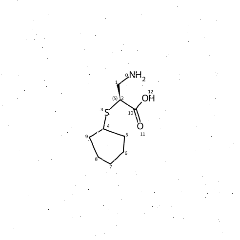 NC[C@H](SC1CCCCC1)C(=O)O